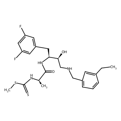 CCc1cccc(CNC[C@H](O)[C@H](Cc2cc(F)cc(F)c2)NC(=O)[C@@H](C)NC(=S)SC)c1